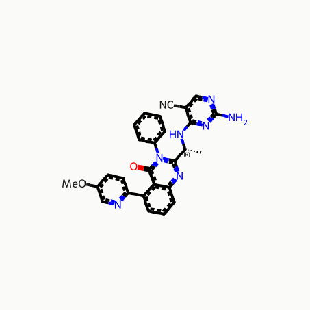 COc1ccc(-c2cccc3nc([C@@H](C)Nc4nc(N)ncc4C#N)n(-c4ccccc4)c(=O)c23)nc1